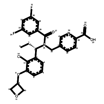 CC[C@@H](c1cccc(OC2COC2)c1Cl)N(Cc1ccc(C(=O)O)nc1)C(=O)c1cc(F)cc(F)c1